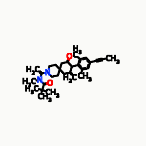 C=C1CC2(CCN(C(=C)N(C)C(=O)C(C)(C)C)CC2)CC(=O)C1c1c(C)cc(C#CC)cc1C